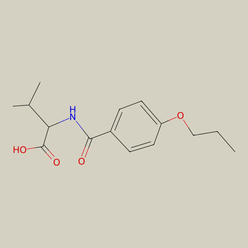 CCCOc1ccc(C(=O)NC(C(=O)O)C(C)C)cc1